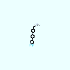 CCCC/C=C/c1ccc(-c2ccc(C3CCC(F)(F)CC3)cc2)cc1